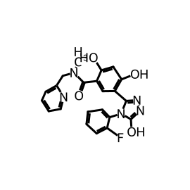 CN(Cc1ccccn1)C(=O)c1cc(-c2nnc(O)n2-c2ccccc2F)c(O)cc1O